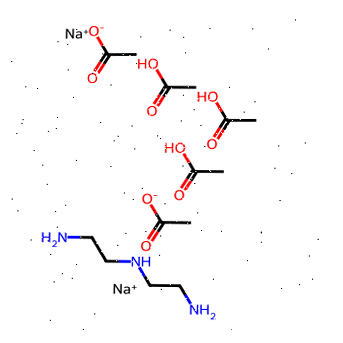 CC(=O)O.CC(=O)O.CC(=O)O.CC(=O)[O-].CC(=O)[O-].NCCNCCN.[Na+].[Na+]